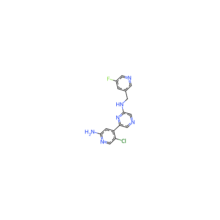 Nc1cc(-c2cncc(NCc3cncc(F)c3)n2)c(Cl)cn1